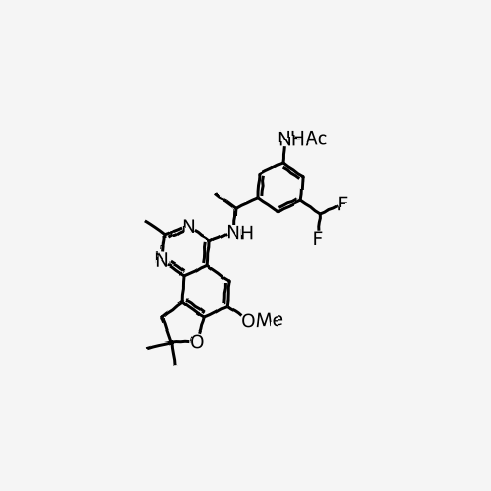 COc1cc2c(NC(C)c3cc(NC(C)=O)cc(C(F)F)c3)nc(C)nc2c2c1OC(C)(C)C2